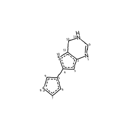 C1=Nc2cc(-c3ccsc3)sc2CN1